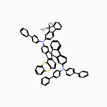 CC1(C)c2ccccc2-c2ccc(N(c3ccc(-c4ccccc4)cc3)c3ccc4c(c3)C3(c5ccccc5-c5ccc(N(c6ccc(-c7ccccc7)cc6)c6ccc(-c7ccccc7)cc6)cc53)c3ccc5c(c3-4)Sc3ccccc3S5)cc21